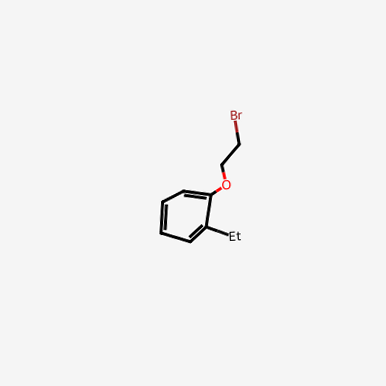 CCc1ccccc1OCCBr